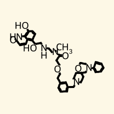 CN(CCNCC(O)c1ccc(O)c2[nH]c(=O)ccc12)C(=O)CCOCCc1cccc(CN2CCC3(CC2)CN(c2ccccc2)CCO3)c1